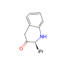 CC(C)[C@@H]1Nc2ccccc2CC1=O